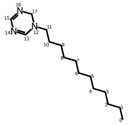 CCCCCCCCCCCCN1C=NC=NC1